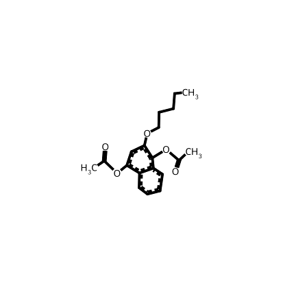 CCCCCOc1cc(OC(C)=O)c2ccccc2c1OC(C)=O